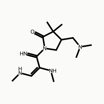 CN/C=C(/NC)C(=N)N1CC(CN(C)C)C(C)(C)C1=O